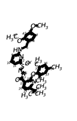 COc1ccc(CNc2cccc([S+]([O-])N=NC(=O)c3ccc(C(C)(C)C)nc3Oc3c(C)cc(C)cc3C)n2)c(OC)c1